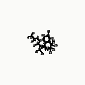 C=C(/C=C\C(C)=C(C)C)N(C1=NC(C)(C)C(C)(F)c2cc(C)ccc21)C(C)C